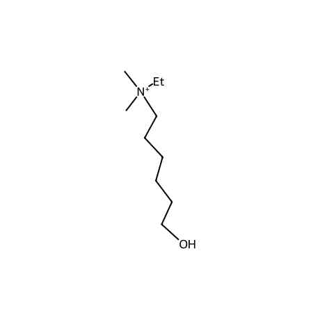 CC[N+](C)(C)CCCCCCO